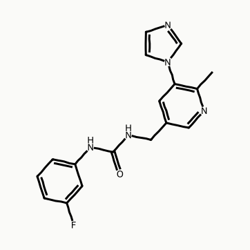 Cc1ncc(CNC(=O)Nc2cccc(F)c2)cc1-n1ccnc1